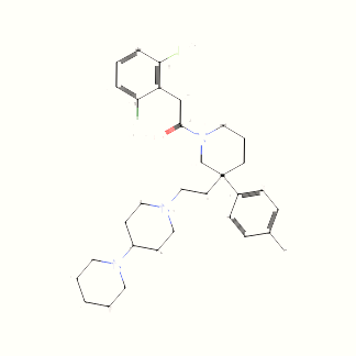 Cc1ccc(C2(CCN3CCC(N4CCCCC4)CC3)CCCN(C(=O)Cc3c(F)cccc3Cl)C2)cc1